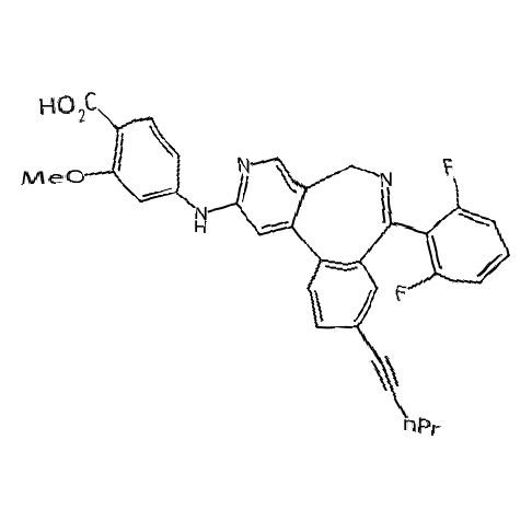 CCCC#Cc1ccc2c(c1)C(c1c(F)cccc1F)=NCc1cnc(Nc3ccc(C(=O)O)c(OC)c3)cc1-2